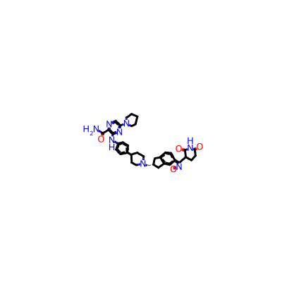 NC(=O)c1ncc(N2CCCCC2)nc1Nc1ccc(C2CCN(C[C@@H]3Cc4ccc5c(C6CCC(=O)NC6=O)noc5c4C3)CC2)cc1